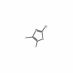 CCc1nc(F)c(F)o1